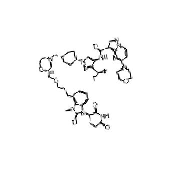 Cn1c(=O)n(C2CCC(=O)NC2=O)c2cccc(CCCOC[C@@H]3CN(C[C@H]4CC[C@H](n5cc(NC(=O)c6cnn7ccc(N8CCOCC8)nc67)c(C(F)F)n5)CC4)CCO3)c21